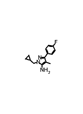 Cc1c(-c2ccc(F)cc2)nn(CC2CC2)c1N